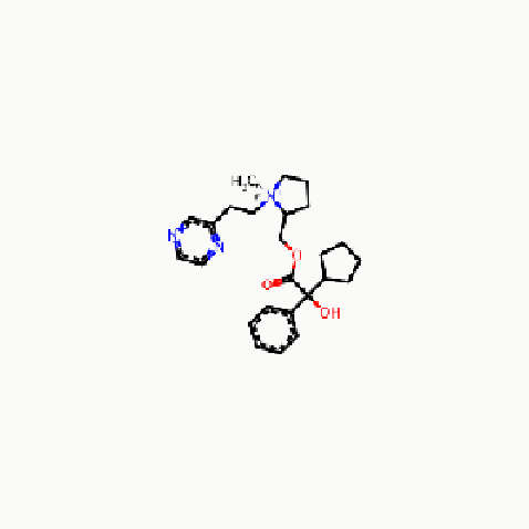 C[N@+]1(CCc2cnccn2)CCCC1COC(=O)C(O)(c1ccccc1)C1CCCC1